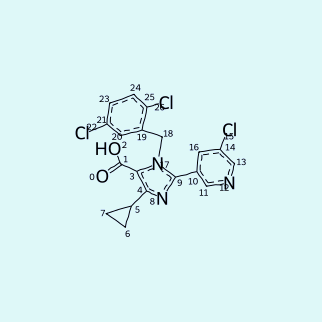 O=C(O)c1c(C2CC2)nc(-c2cncc(Cl)c2)n1Cc1cc(Cl)ccc1Cl